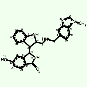 Cn1cnc2cc(CNCC3Nc4ccccc4C3C3NC(=O)c4ccc(O)cc43)ccc21